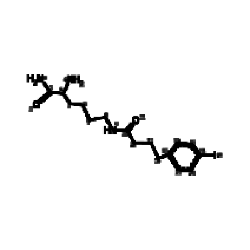 NC(=O)C(N)CCCCNC(=O)CCCc1ccc(I)cc1